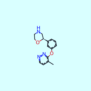 Cc1ccnnc1Oc1cccc([C@@H]2CNCCO2)c1